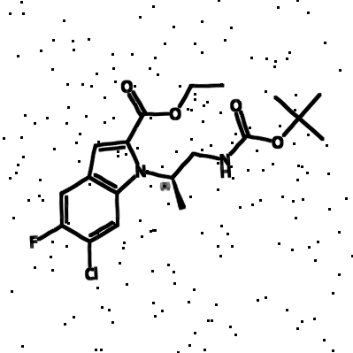 CCOC(=O)c1cc2cc(F)c(Cl)cc2n1[C@H](C)CNC(=O)OC(C)(C)C